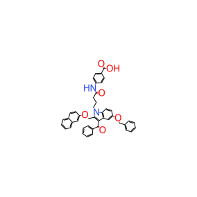 O=C(CCCn1c(COc2ccc3ccccc3c2)c(C(=O)c2ccccc2)c2cc(OCc3ccccc3)ccc21)Nc1ccc(C(=O)O)cc1